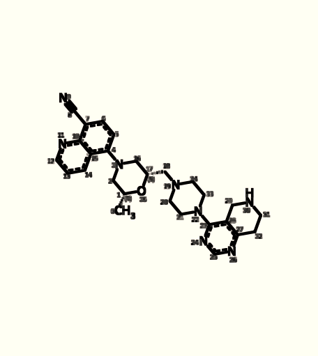 C[C@@H]1CN(c2ccc(C#N)c3ncccc23)C[C@H](CN2CCN(c3ncnc4c3CNCC4)CC2)O1